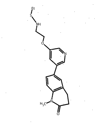 CCSNCCOc1cncc(-c2ccc3c(c2)CCC(=O)N3C)c1